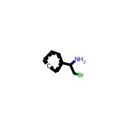 NC(CBr)c1ccccc1